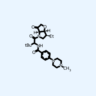 CC[C@H]1CN(C(=O)C(NC(=O)c2ccc(N3CCN(C)CC3)cc2)C(C)(C)C)[C@@H]2C(=O)CO[C@H]12